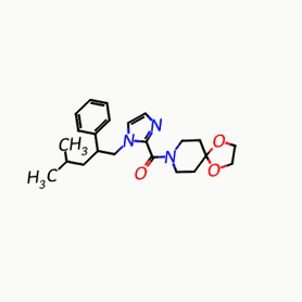 CC(C)CC(Cn1ccnc1C(=O)N1CCC2(CC1)OCCO2)c1ccccc1